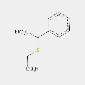 CCOC(=O)C(SCC(=O)O)c1ccccc1